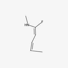 C/C=C\C=C(\F)NC